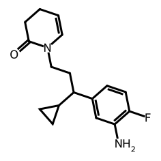 Nc1cc(C(CCN2C=CCCC2=O)C2CC2)ccc1F